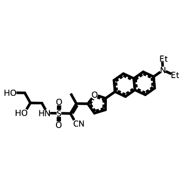 CCN(CC)c1ccc2cc(-c3ccc(/C(C)=C(\C#N)S(=O)(=O)NCC(O)CO)o3)ccc2c1